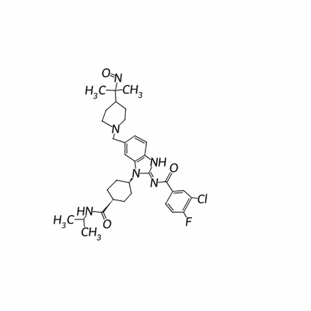 CC(C)NC(=O)[C@H]1CC[C@@H](n2/c(=N/C(=O)c3ccc(F)c(Cl)c3)[nH]c3ccc(CN4CCC(C(C)(C)N=O)CC4)cc32)CC1